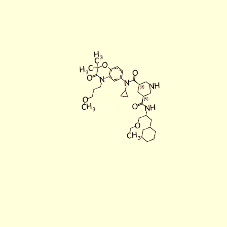 CCOCC(CC1CCCCC1)NC(=O)[C@@H]1CNC[C@H](C(=O)N(c2ccc3c(c2)N(CCCOC)C(=O)C(C)(C)O3)C2CC2)C1